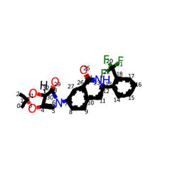 CC1(C)OC2=CN(c3ccc4cc(-c5ccccc5C(F)(F)F)[nH]c(=O)c4c3)C(=O)[C@@H]2O1